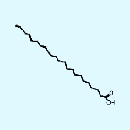 C=CCC=CCC=CCCCCCCCCCCCCCC(=O)O